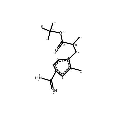 Cc1cc(C(=N)N)ccc1CC(C)C(=O)OC(C)(C)C